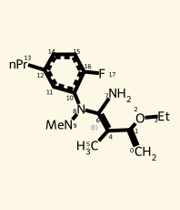 C=C(OCC)/C(C)=C(\N)N(NC)c1cc(CCC)ccc1F